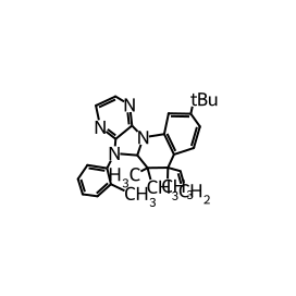 C=CC1(C)c2ccc(C(C)(C)C)cc2N2c3nccnc3N(c3ccccc3C)C2C1(C)C